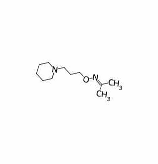 CC(C)=NOCCCN1CCCCC1